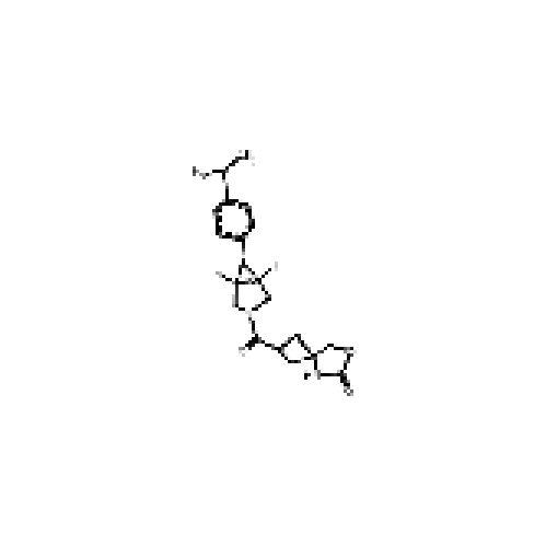 CC(C)c1ccc([C@H]2[C@@H]3CN(C(=O)C4CC5(COC(=O)N5)C4)C[C@@H]32)cc1